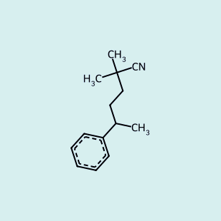 CC(CCC(C)(C)C#N)c1ccccc1